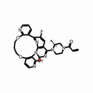 C=CC(=O)N1CCN(c2nc(=O)n3c4nc(c(F)cc24)-c2cccnc2OCCCOc2ccnc(C(C)C)c2-3)[C@@H](C)C1